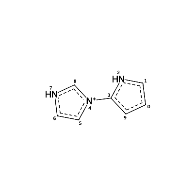 c1c[nH]c(-[n+]2cc[nH]c2)c1